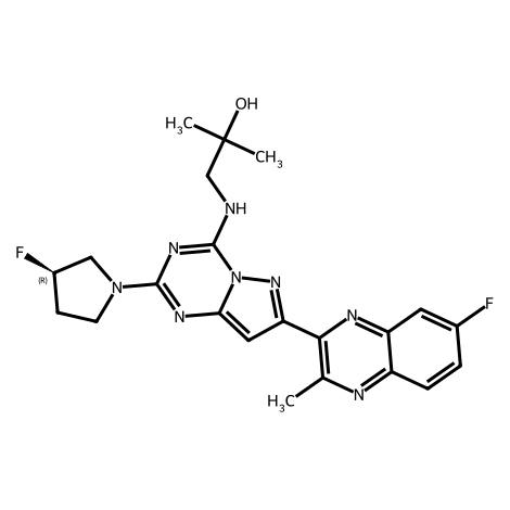 Cc1nc2ccc(F)cc2nc1-c1cc2nc(N3CC[C@@H](F)C3)nc(NCC(C)(C)O)n2n1